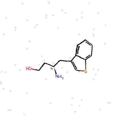 N[C@@H](CCO)Cc1csc2ccccc12